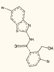 O=C(Nc1nc2ccc(Br)cc2s1)c1cccc(Br)c1CO